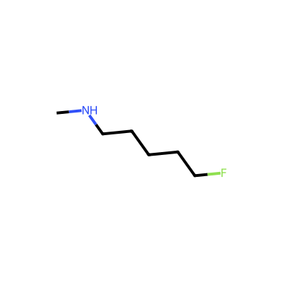 CNCCCCCF